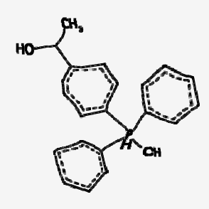 CC(O)c1ccc([PH](O)(c2ccccc2)c2ccccc2)cc1